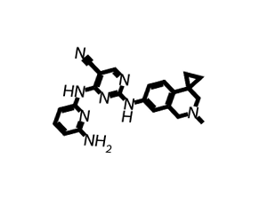 CN1Cc2cc(Nc3ncc(C#N)c(Nc4cccc(N)n4)n3)ccc2C2(CC2)C1